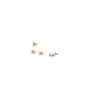 [Br-].[Br-].[Br-].[Lu+3]